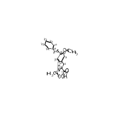 COc1cc(CC(NC(C)=O)C(=O)O)ccc1SCc1ccccc1